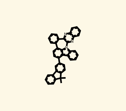 CC1(C)c2ccccc2-c2cc(-c3ccc4c5c3c3ccccc3n5-c3nc5ccccc5nc3-c3ccccc3-4)ccc21